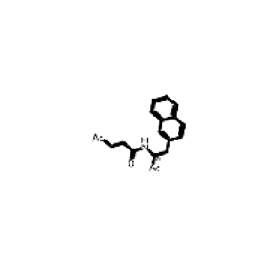 CC(=O)CCC(=O)N[C@@H](Cc1ccc2ccccc2c1)C(C)=O